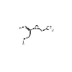 CC=C(CCF)OCC(F)(F)F